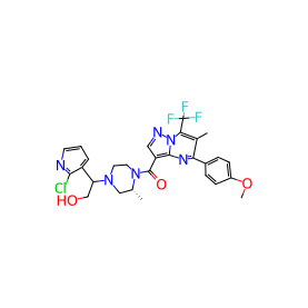 COc1ccc(-c2nc3c(C(=O)N4CCN(C(CO)c5cccnc5Cl)C[C@H]4C)cnn3c(C(F)(F)F)c2C)cc1